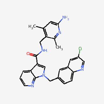 Cc1cc(N)nc(C)c1CNC(=O)c1cn(Cc2ccc3ncc(Cl)cc3c2)c2ncccc12